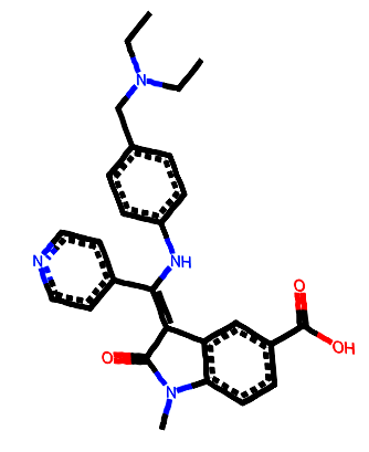 CCN(CC)Cc1ccc(NC(=C2C(=O)N(C)c3ccc(C(=O)O)cc32)c2ccncc2)cc1